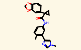 Cc1ccc(NC(=O)C2(c3ccc4c(c3)OCO4)CC2)cc1-c1cn(C)cn1